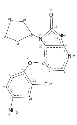 Nc1ccc(Oc2ccnc3[nH]c(=O)n(C4CCCC4)c23)c(F)c1